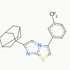 FC(F)(F)c1cccc(-c2csc3nc(C45CC6CC(CC(C6)C4)C5)cn23)c1